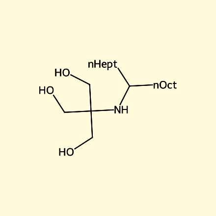 CCCCCCCCC(CCCCCCC)NC(CO)(CO)CO